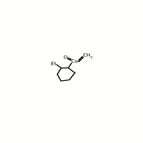 C=[CH][Co](=[O])[CH]1CCCCC1CC